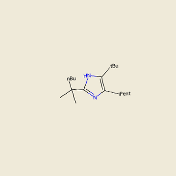 CCCCC(C)(C)c1nc(C(C)CCC)c(C(C)(C)C)[nH]1